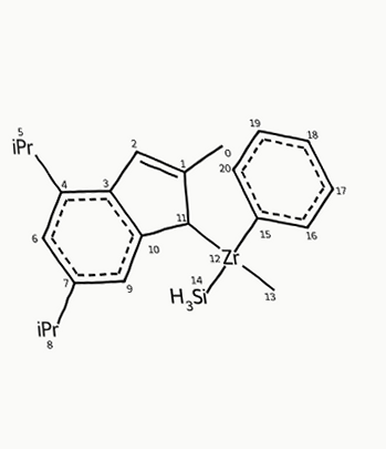 CC1=Cc2c(C(C)C)cc(C(C)C)cc2[CH]1[Zr]([CH3])([SiH3])[c]1ccccc1